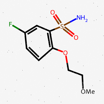 COCCOc1ccc(F)cc1S(N)(=O)=O